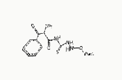 CCCCCONNC(=S)NC(=O)C(CCC)C(=O)c1ccccc1